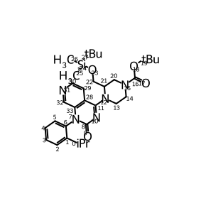 CC(C)c1ccccc1-n1c(=O)nc(N2CCN(C(=O)OC(C)(C)C)CC2CO[Si](C)(C)C(C)(C)C)c2ccncc21